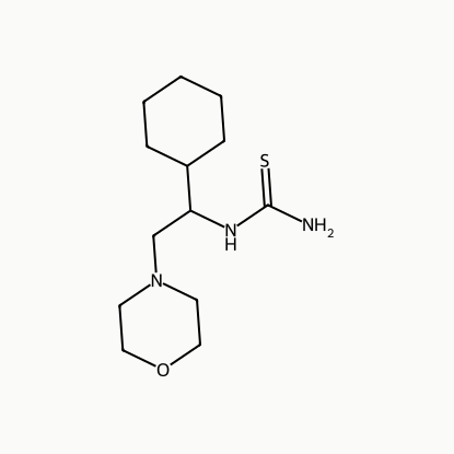 NC(=S)NC(CN1CCOCC1)C1CCCCC1